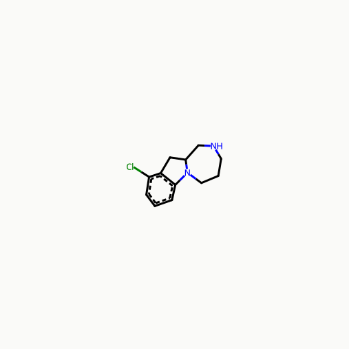 Clc1cccc2c1CC1CNCCCN21